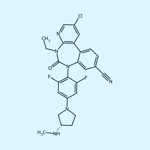 CCN1C(=O)N(c2c(F)cc(N3CC[C@H](NC)C3)cc2F)c2cc(C#N)ccc2-c2cc(Cl)cnc21